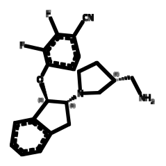 N#Cc1ccc(O[C@@H]2c3ccccc3C[C@H]2N2CC[C@H](CN)C2)c(F)c1F